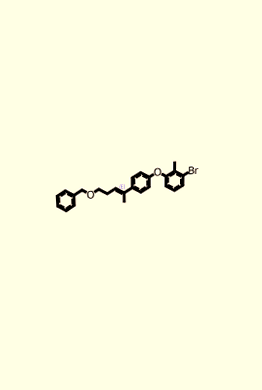 C/C(=C\CCOCc1ccccc1)c1ccc(Oc2cccc(Br)c2C)cc1